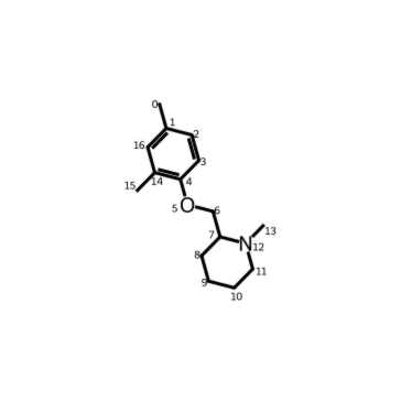 Cc1ccc(OCC2CCCCN2C)c(C)c1